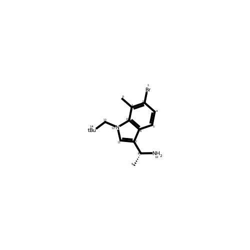 Cc1c(Br)ccc2c([C@@H](C)N)cn(CC(C)(C)C)c12